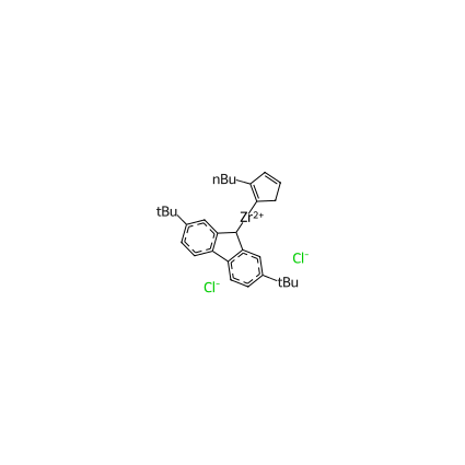 CCCCC1=[C]([Zr+2][CH]2c3cc(C(C)(C)C)ccc3-c3ccc(C(C)(C)C)cc32)CC=C1.[Cl-].[Cl-]